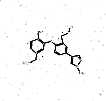 CCOC(=O)Cc1ccc(OC)c(Oc2ccc(-c3cnn(C)c3)cc2CSC(C)C)c1